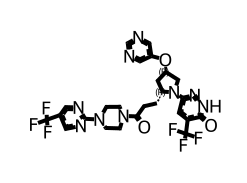 O=C(CC[C@@H]1C[C@@H](Oc2cncnc2)CN1c1cc(C(F)(F)F)c(=O)[nH]n1)N1CCN(c2ncc(C(F)(F)F)cn2)CC1